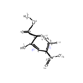 C=C(C(=O)OC)/C(O)=C\C(=C(/C)I)[N+](=O)[O-]